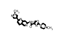 CN1CCN(c2nc(C(=O)Nc3cc4nc(-c5cnn(C)c5)ccc4cn3)co2)CC1